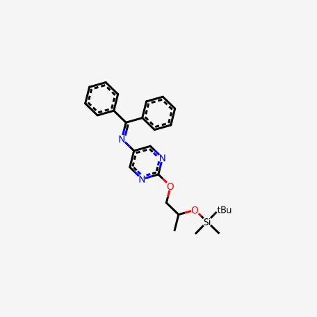 CC(COc1ncc(N=C(c2ccccc2)c2ccccc2)cn1)O[Si](C)(C)C(C)(C)C